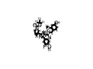 COc1ccc(CNc2nc3cc(OC)c(F)cc3c3nc(C45CC4CN(C(=O)OC(C)(C)C)C5)nn23)c(OC)c1